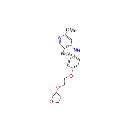 COc1cc(Nc2ccc(OCCOC3CCOC3)cc2)c(NC(C)=O)cn1